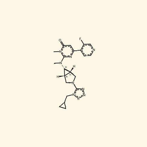 CN(c1nc(-c2ccncc2F)cc(=O)n1C)[C@@H]1[C@@H]2CN(c3nnnn3CC3CC3)C[C@@H]21